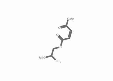 COC(=O)/C=C\C(=O)OCC(C)OC